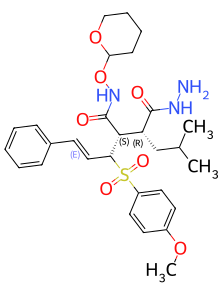 COc1ccc(S(=O)(=O)C(/C=C/c2ccccc2)[C@H](C(=O)NOC2CCCCO2)[C@@H](CC(C)C)C(=O)NN)cc1